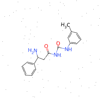 Cc1cccc(NC(=O)NC(=O)CC(N)c2ccccc2)c1